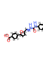 O=C(N/N=C/c1ccc(-c2ccc(C(=O)O)cc2)o1)Nc1ccccc1